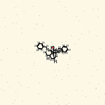 CC(C)C[C@@H]1[C@@H]2C=N[C@@]3(C(=O)NCc4ccccc4)[C@H](CCN(Cc4ccccc4)[C@@H]13)C2